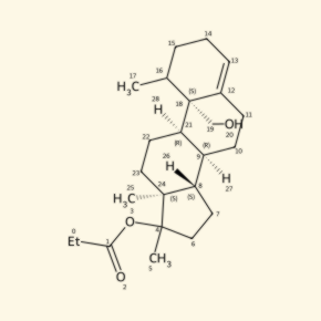 CCC(=O)OC1(C)CC[C@H]2[C@@H]3CCC4=CCCC(C)[C@]4(CO)[C@@H]3CC[C@@]21C